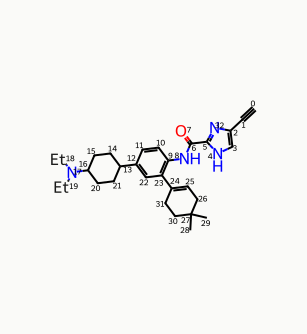 C#Cc1c[nH]c(C(=O)Nc2ccc(C3CCC(N(CC)CC)CC3)cc2C2=CCC(C)(C)CC2)n1